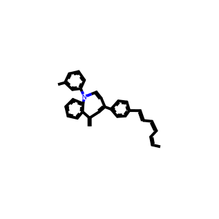 C=C1/C=C(c2ccc(/C=C/C=C\C=C/C)cc2)\C=C/N(c2cccc(C)c2)c2ccccc21